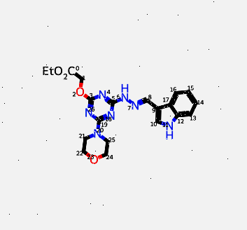 CCOC(=O)COc1nc(NN=Cc2c[nH]c3ccccc23)nc(N2CCOCC2)n1